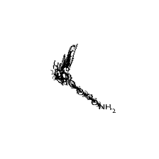 CC1(C)O[C@@H]2[C@H](O1)[C@H](Nc1nc(Cl)ns1)CO[C@@H]2COCCOCCOCCOCCN